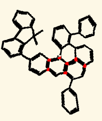 CC1(C)c2ccccc2-c2cccc(-c3cccc(N(c4cccc(-c5ccccc5)c4)c4cccc(-c5ccccc5)c4-c4ccccc4-c4ccccc4)c3)c21